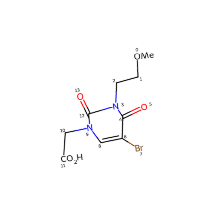 COCCn1c(=O)c(Br)cn(CC(=O)O)c1=O